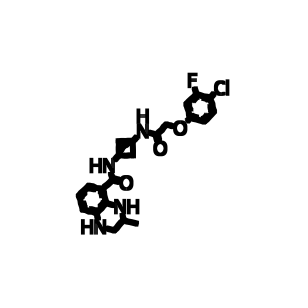 CC1CNc2cccc(C(=O)NC34CC(NC(=O)COc5ccc(Cl)c(F)c5)(C3)C4)c2N1